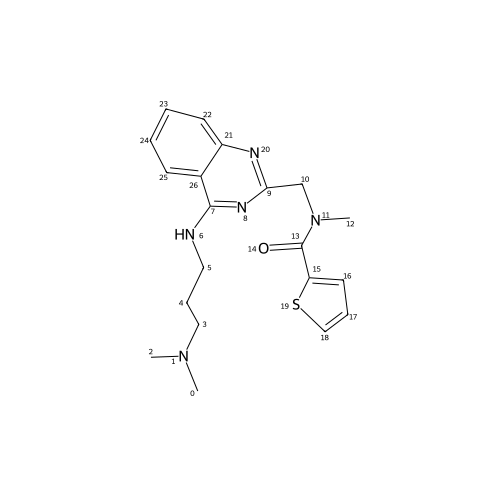 CN(C)CCCNc1nc(CN(C)C(=O)c2cccs2)nc2ccccc12